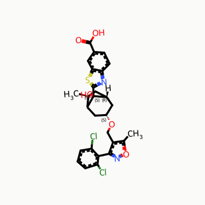 Cc1onc(-c2c(Cl)cccc2Cl)c1CO[C@@H]1CC2[C@@H](C)C[C@H](C1)[C@@]2(O)c1nc2ccc(C(=O)O)cc2s1